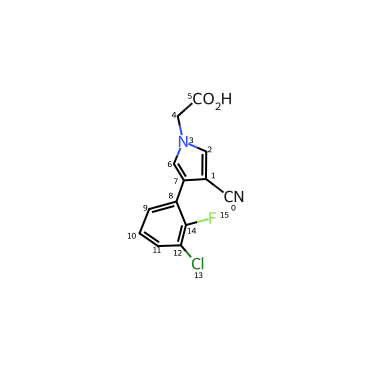 N#Cc1cn(CC(=O)O)cc1-c1cccc(Cl)c1F